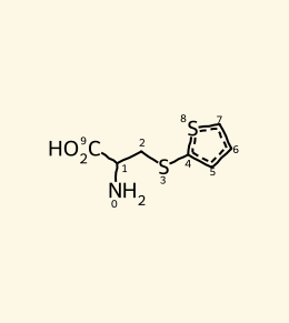 NC(CSc1cccs1)C(=O)O